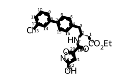 CCOC(=O)C[C@@H](Cc1ccc(-c2cccc(Cl)c2)cc1)NC(=O)c1cc(O)no1